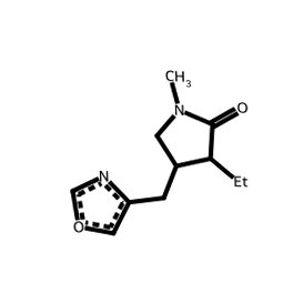 CCC1C(=O)N(C)CC1Cc1cocn1